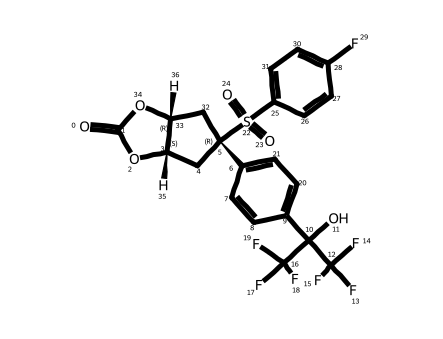 O=C1O[C@H]2C[C@@](c3ccc(C(O)(C(F)(F)F)C(F)(F)F)cc3)(S(=O)(=O)c3ccc(F)cc3)C[C@H]2O1